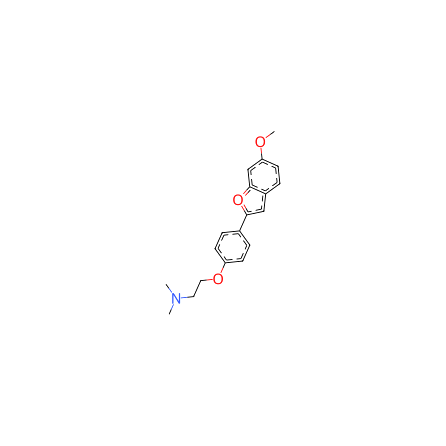 COc1ccc2cc(-c3ccc(OCCN(C)C)cc3)oc2c1